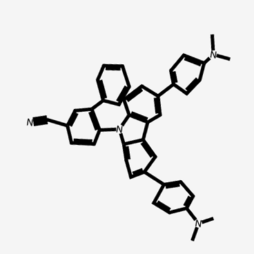 CN(C)c1ccc(-c2ccc3c(c2)c2cc(-c4ccc(N(C)C)cc4)ccc2n3-c2ccc(C#N)cc2-c2ccccc2)cc1